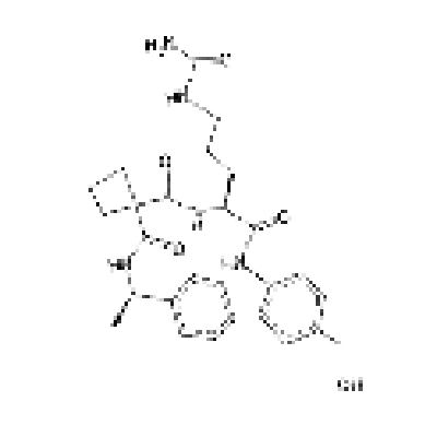 C[C@@H](NC(=O)C1(C(=O)N[C@@H](CCCNC(N)=O)C(=O)Nc2ccc(CO)cc2)CCC1)c1ccccc1